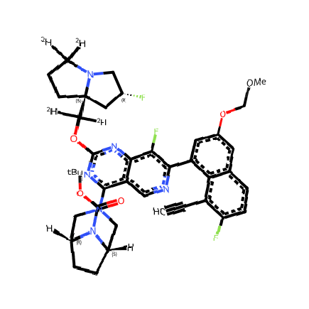 [2H]C1([2H])CC[C@@]2(C([2H])([2H])Oc3nc(N4C[C@H]5CC[C@@H](C4)N5C(=O)OC(C)(C)C)c4cnc(-c5cc(OCOC)cc6ccc(F)c(C#C)c56)c(F)c4n3)C[C@@H](F)CN12